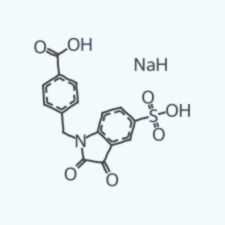 O=C(O)c1ccc(CN2C(=O)C(=O)c3cc(S(=O)(=O)O)ccc32)cc1.[NaH]